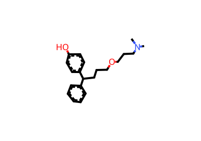 CN(C)CCCOCCCC(c1ccccc1)c1ccc(O)cc1